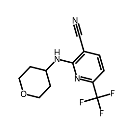 N#Cc1ccc(C(F)(F)F)nc1NC1CCOCC1